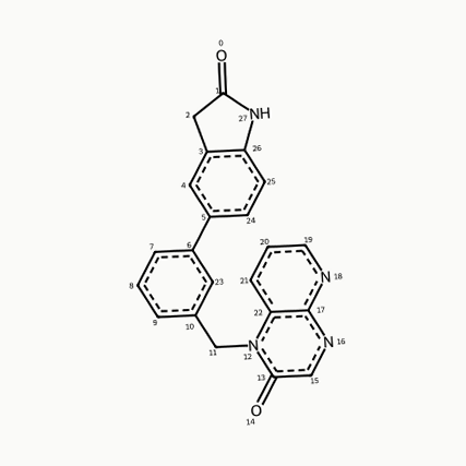 O=C1Cc2cc(-c3cccc(Cn4c(=O)cnc5ncccc54)c3)ccc2N1